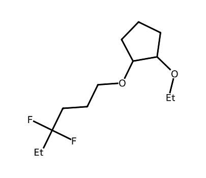 CCOC1CCCC1OCCCC(F)(F)CC